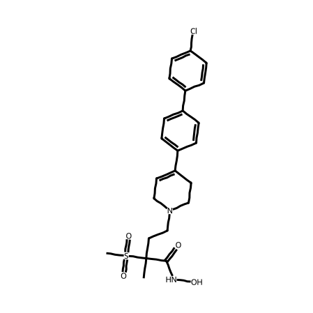 CC(CCN1CC=C(c2ccc(-c3ccc(Cl)cc3)cc2)CC1)(C(=O)NO)S(C)(=O)=O